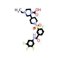 CCN1CCN(C(=O)O)C(C2CCN(S(=O)(=O)c3cc(C(=O)Nc4cc(F)c(F)c(F)c4)ccc3F)CC2)C1